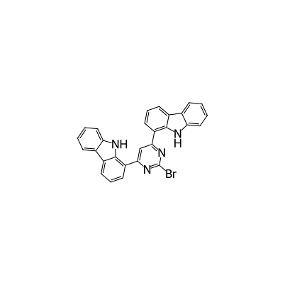 Brc1nc(-c2cccc3c2[nH]c2ccccc23)cc(-c2cccc3c2[nH]c2ccccc23)n1